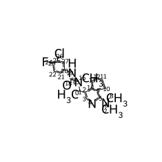 C[C@H](c1cnc(N(C)C)c2ccccc12)N(C)C(=O)Nc1ccc(F)c(Cl)c1